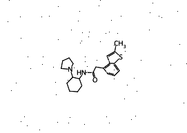 Cc1cc2c(CC(=O)NC3CCCCC3N3CCCC3)cccc2s1